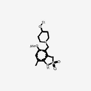 CCOC1CCN(Cc2c(OC)cc(C)c3c2CS(=O)(=O)N3)CC1